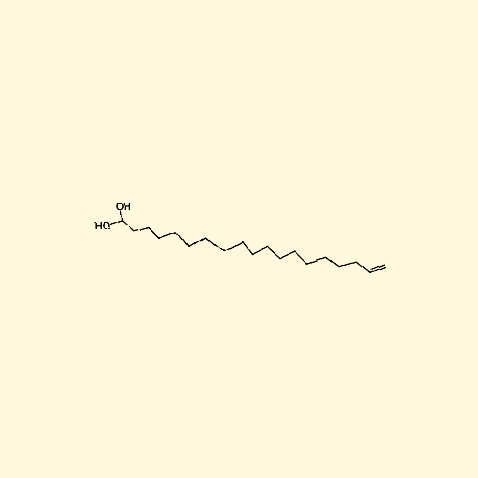 C=CCCCCCCCCCCCCCCCCC(O)O